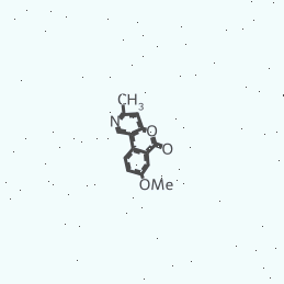 COc1ccc2c(c1)c(=O)oc1cc(C)ncc12